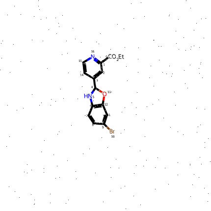 CCOC(=O)c1cc(C2Nc3ccc(Br)cc3O2)ccn1